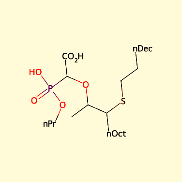 CCCCCCCCCCCCSC(CCCCCCCC)C(C)OC(C(=O)O)P(=O)(O)OCCC